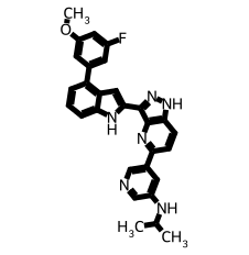 COc1cc(F)cc(-c2cccc3[nH]c(-c4n[nH]c5ccc(-c6cncc(NC(C)C)c6)nc45)cc23)c1